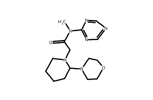 CN(C(=O)CN1CCCCC1N1CCOCC1)c1ncncn1